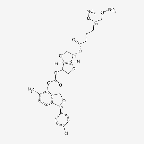 Cc1ncc2c(c1OC(=O)OC1CO[C@@H]3[C@@H](OC(=O)CCC[C@H](CO[N+](=O)[O-])O[N+](=O)[O-])CO[C@H]13)CO[C@H]2c1ccc(Cl)cc1